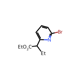 CCOC(=O)C(CC)c1cccc(Br)n1